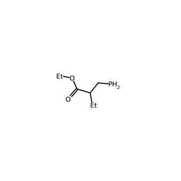 CCOC(=O)C(CC)CP